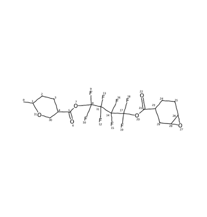 CC1CCC(C(=O)OC(F)(F)C(F)(F)C(F)(F)C(F)(F)OC(=O)C2CCC3OC3C2)CO1